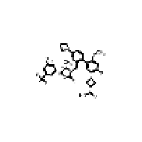 COc1cc(F)c([C@H]2C[C@@H](C(=O)O)C2)cc1-c1ccc(N2CCC2)nc1CN1C(=O)O[C@H](c2cc(C)cc(C(F)(F)F)c2)[C@@H]1C